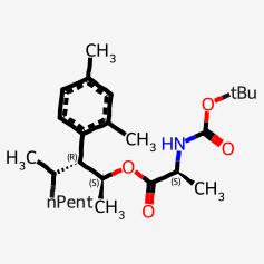 CCCCCC(C)[C@H](c1ccc(C)cc1C)[C@H](C)OC(=O)[C@H](C)NC(=O)OC(C)(C)C